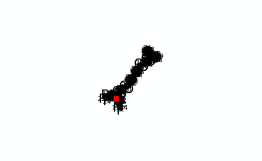 O=C(OC1COC(c2ccc(C(F)(F)F)cc2)(c2ccc(C(F)(F)F)cc2)OC1)c1ccc(-c2ccc(C(=O)OC3COC4(OC3)c3ccccc3-c3ccccc34)cc2)cc1